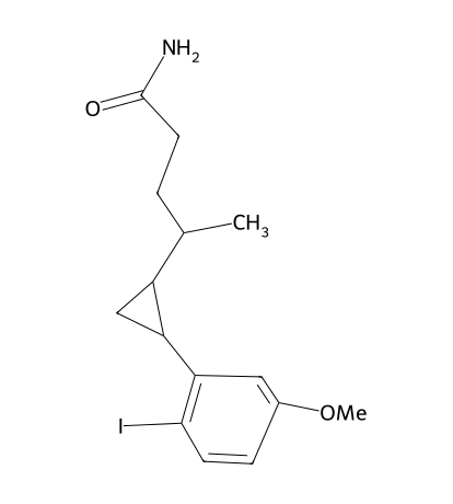 COc1ccc(I)c(C2CC2C(C)CCC(N)=O)c1